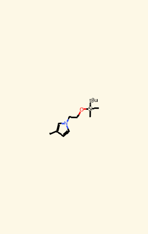 Cc1ccn(CCO[Si](C)(C)C(C)(C)C)c1